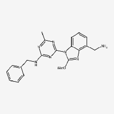 COc1nc2c(CN)cccc2n1-c1nc(C)nc(NCc2ccccc2)n1